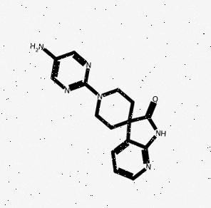 Nc1cnc(N2CCC3(CC2)C(=O)Nc2ncccc23)nc1